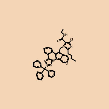 CCCCc1nc(Cl)c(C(=O)NCC)n1Cc1c2ccocc-2c(Br)c1-c1ccccc1-c1nnn(C(c2ccccc2)(c2ccccc2)c2ccccc2)n1